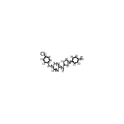 CN(C1=NCN(Cc2ccc(Cl)cc2)C=N1)C1CCN(c2ccc(F)cc2)C1